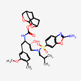 COc1cc(CC(NC(=O)OC2C3COC4OC2CC4C3)[C@H](O)CN(CC(C)C)S(=O)(=O)c2ccc3nc(N)oc3c2)ccc1C